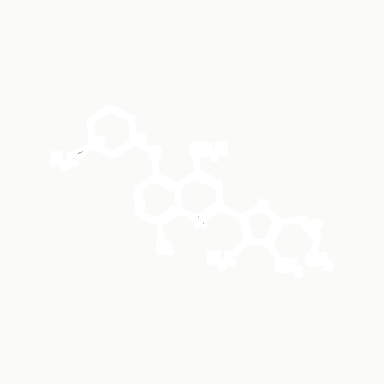 C/C=C\c1sc(-c2cc(C(=O)O)c3c(O[C@H]4CCC[C@H](C)C4)ccc(CC)c3n2)c(C)c1C